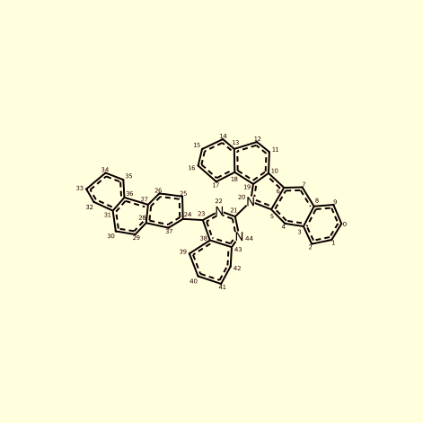 c1ccc2cc3c(cc2c1)c1ccc2ccccc2c1n3-c1nc(-c2ccc3c(ccc4ccccc43)c2)c2ccccc2n1